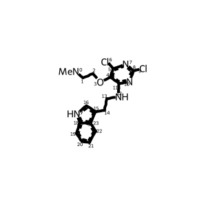 CNCCOc1c(Cl)nc(Cl)nc1NCCc1c[nH]c2ccccc12